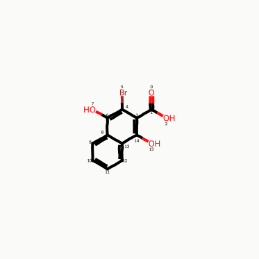 O=C(O)c1c(Br)c(O)c2ccccc2c1O